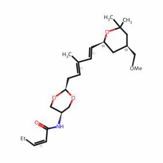 CC/C=C\C(=O)N[C@H]1CO[C@@H](C/C=C(C)/C=C/[C@@H]2C[C@H](COC)CC(C)(C)O2)OC1